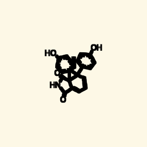 C=CCC12C(=O)NC(=O)C1=CC=CC2(c1ccc(O)cc1)c1ccc(O)cc1